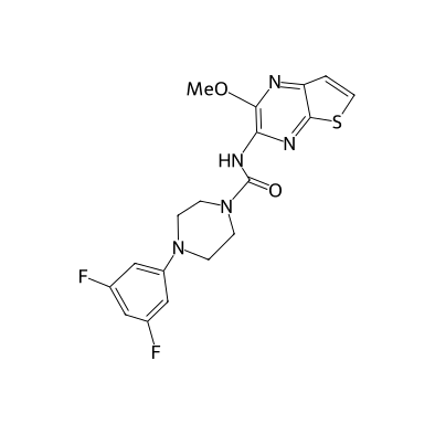 COc1nc2ccsc2nc1NC(=O)N1CCN(c2cc(F)cc(F)c2)CC1